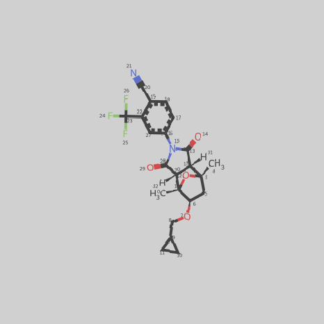 C[C@@]12O[C@@](C)(C[C@H]1OCC1CC1)[C@H]1C(=O)N(c3ccc(C#N)c(C(F)(F)F)c3)C(=O)[C@H]12